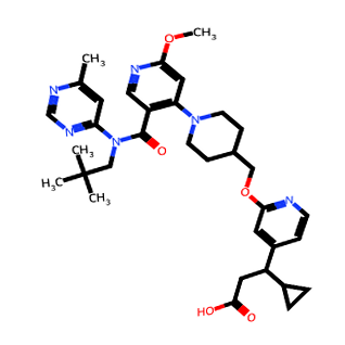 COc1cc(N2CCC(COc3cc(C(CC(=O)O)C4CC4)ccn3)CC2)c(C(=O)N(CC(C)(C)C)c2cc(C)ncn2)cn1